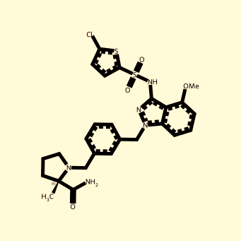 COc1cccc2c1c(NS(=O)(=O)c1ccc(Cl)s1)nn2Cc1cccc(CN2CCC[C@@]2(C)C(N)=O)c1